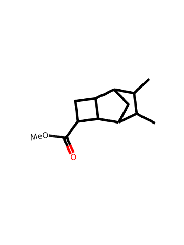 COC(=O)C1CC2C3CC(C(C)C3C)C12